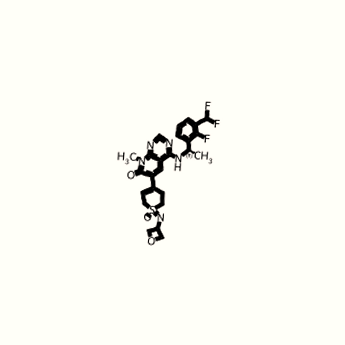 C[C@@H](Nc1ncnc2c1cc(C1=CCS(=O)(=NC3COC3)CC1)c(=O)n2C)c1cccc(C(F)F)c1F